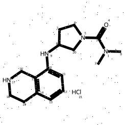 CN(C)C(=O)N1CCC(Nc2cccc3c2CNCC3)C1.Cl